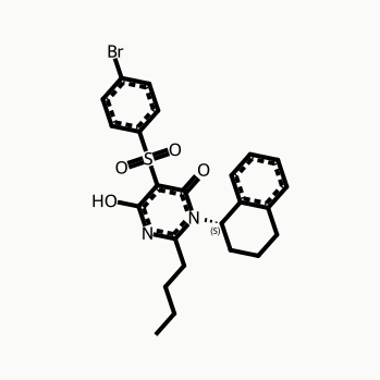 CCCCc1nc(O)c(S(=O)(=O)c2ccc(Br)cc2)c(=O)n1[C@H]1CCCc2ccccc21